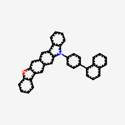 c1ccc2c(-c3ccc(-n4c5ccccc5c5cc6cc7oc8ccccc8c7cc6cc54)cc3)cccc2c1